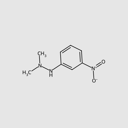 CN(C)Nc1cccc([N+](=O)[O-])c1